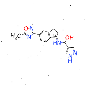 Cc1nc(-c2ccc3c(c2)CC[C@H]3NC(O)c2cn[nH]c2)no1